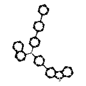 c1ccc(-c2ccc(-c3ccc(N(c4ccc(-c5ccc6sc7ccccc7c6c5)cc4)c4cccc5ccccc45)cc3)cc2)cc1